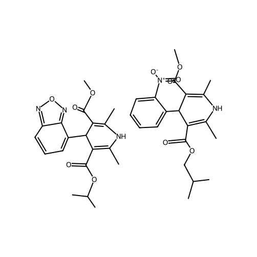 COC(=O)C1=C(C)NC(C)=C(C(=O)OC(C)C)C1c1cccc2nonc12.COC(=O)C1=C(C)NC(C)=C(C(=O)OCC(C)C)C1c1ccccc1[N+](=O)[O-]